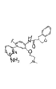 CN(C)CCOc1cc(-c2ccnc(N)n2)c(F)cc1NC(=O)C1COc2ccccc2C1